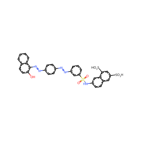 O=S(=O)(O)c1cc(S(=O)(=O)O)c2cc(NS(=O)(=O)c3cccc(N=Nc4ccc(N=Nc5c(O)ccc6ccccc56)cc4)c3)ccc2c1